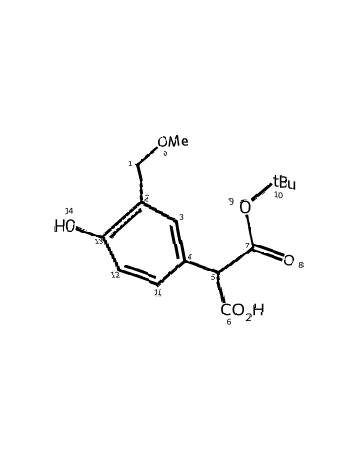 COCc1cc(C(C(=O)O)C(=O)OC(C)(C)C)ccc1O